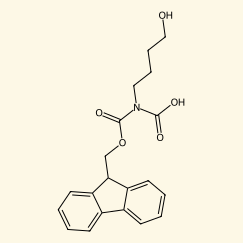 O=C(O)N(CCCCO)C(=O)OCC1c2ccccc2-c2ccccc21